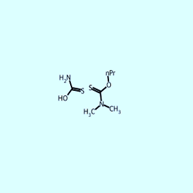 CCCOC(=S)N(C)C.NC(O)=S